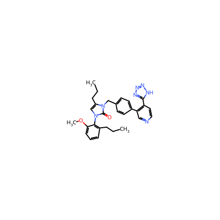 CCCc1cccc(OC)c1-n1cc(CCC)n(Cc2ccc(-c3cnccc3-c3nnn[nH]3)cc2)c1=O